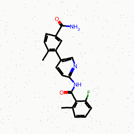 Cc1ccc(C(N)=O)cc1-c1ccc(NC(=O)c2c(C)cccc2F)nc1